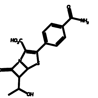 CC(O)C1C(=O)N2C(C(=O)O)=C(c3ccc(C(N)=O)cc3)SC12